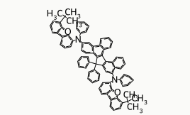 CC(C)(C)c1cccc2c1oc1c(N(c3ccccc3)c3ccc4c5c(c6ccccc6c4c3)-c3c(cc(N(c4ccccc4)c4cccc6c4oc4c(C(C)(C)C)cccc46)c4ccccc34)C5(c3ccccc3)c3ccccc3)cccc12